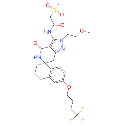 COCCn1nc2c(c1NC(=O)CS(C)(=O)=O)C(=O)N[C@@]1(CCCc3cc(OCCCC(F)(F)F)ccc31)C2